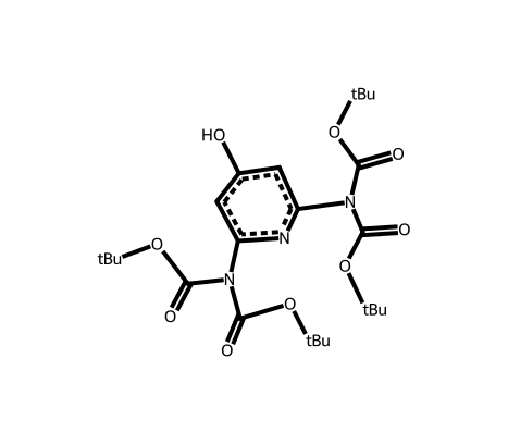 CC(C)(C)OC(=O)N(C(=O)OC(C)(C)C)c1cc(O)cc(N(C(=O)OC(C)(C)C)C(=O)OC(C)(C)C)n1